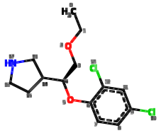 CCOC[C@@H](Oc1ccc(Cl)cc1Cl)C1CCNC1